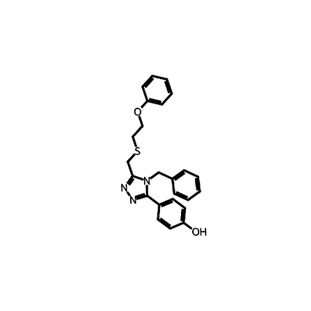 Oc1ccc(-c2nnc(CSCCOc3ccccc3)n2Cc2ccccc2)cc1